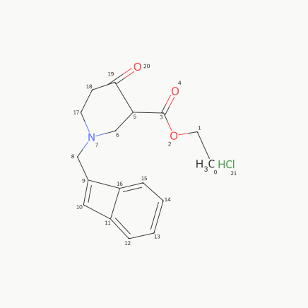 CCOC(=O)C1CN(CC2=Cc3ccccc32)CCC1=O.Cl